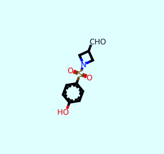 O=CC1CN(S(=O)(=O)c2ccc(O)cc2)C1